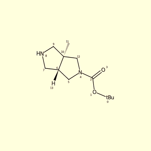 CC(C)(C)OC(=O)N1C[C@@H]2CNC[C@@]2(C)C1